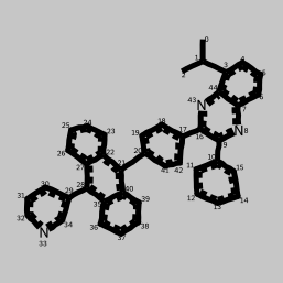 CC(C)c1cccc2nc(-c3ccccc3)c(-c3ccc(-c4c5ccccc5c(-c5cccnc5)c5ccccc45)cc3)nc12